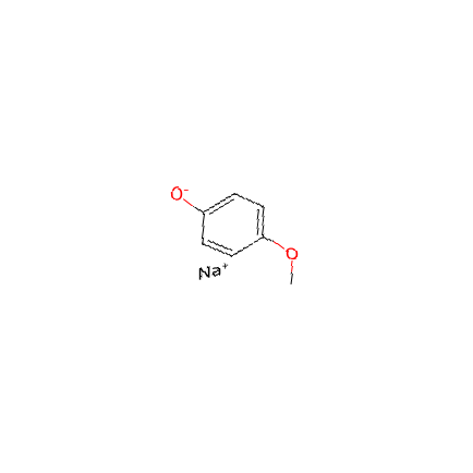 COc1ccc([O-])cc1.[Na+]